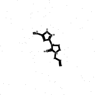 C=CCN1CCN(c2cc(C(C)(C)C)on2)C1=O